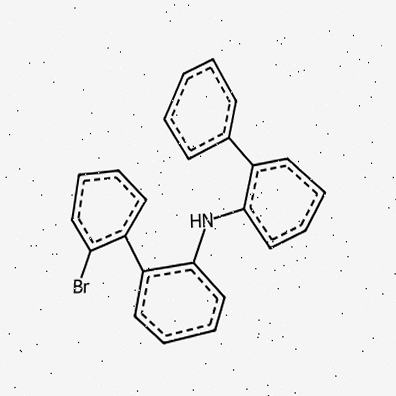 Brc1ccccc1-c1ccccc1Nc1ccccc1-c1ccccc1